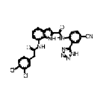 N#Cc1ccc(NC(=O)c2cc3cccc(NC(=O)Cc4ccc(Cl)c(Cl)c4)c3[nH]2)c(-c2nnn[nH]2)c1